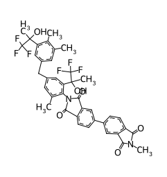 Cc1cc(Cc2cc(C)c(N3C(=O)c4ccc(-c5ccc6c(c5)C(=O)N(C)C6=O)cc4C3=O)c(C(C)(O)C(F)(F)F)c2)cc(C(C)(O)C(F)(F)F)c1C